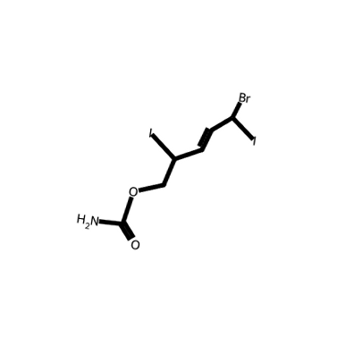 NC(=O)OCC(I)C=CC(Br)I